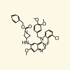 COc1cc2ncnc(N(Cc3ccc(OC)c(OC)c3)c3cccc(Cl)c3F)c2cc1NC1CN(C(=O)OCc2ccccc2)C1